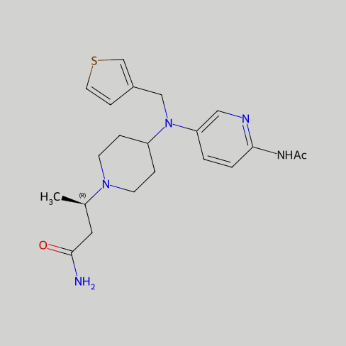 CC(=O)Nc1ccc(N(Cc2ccsc2)C2CCN([C@H](C)CC(N)=O)CC2)cn1